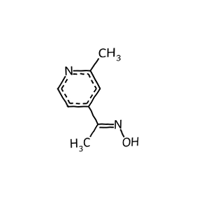 CC(=NO)c1ccnc(C)c1